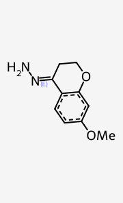 COc1ccc2c(c1)OCC/C2=N\N